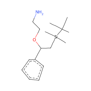 CC(C)(C)[Si](C)(C)CC(OCCN)c1ccccc1